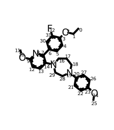 CCOc1ccc(-c2nc(OC)ccc2N2CCCN(c3ccc(OC)cc3)CC2)cc1F